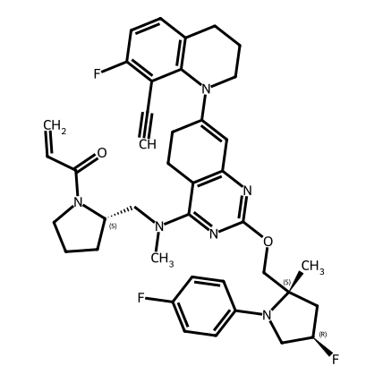 C#Cc1c(F)ccc2c1N(C1=Cc3nc(OC[C@]4(C)C[C@@H](F)CN4c4ccc(F)cc4)nc(N(C)C[C@@H]4CCCN4C(=O)C=C)c3CC1)CCC2